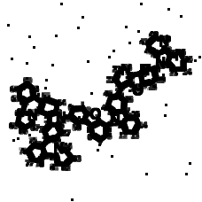 C1=CC2Oc3c(cccc3-n3c4ccccc4c4cc(-c5ccnc6c5oc5ccc(-n7c8cccnc8c8ncccc87)nc56)ccc43)C2C=C1n1c2ccc(-c3ccccc3-c3ccccn3)cc2c2cc(-c3ccccc3-c3ccccn3)ccc21